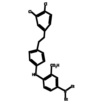 CCN(CC)c1ccc(Nc2ccc(CCc3ccc(Cl)c(Cl)c3)cc2)c(C(=O)O)c1